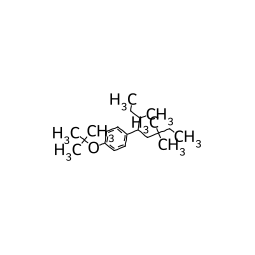 CCC(C)C(CC(C)(C)CC)c1ccc(OC(C)(C)C)cc1